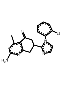 CCc1ccccc1-n1ccnc1C1CC(=O)c2c(C)nc(N)nc2C1